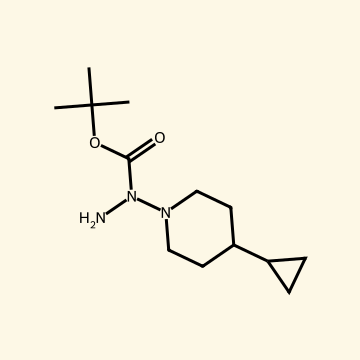 CC(C)(C)OC(=O)N(N)N1CCC(C2CC2)CC1